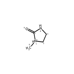 [CH2-][NH+]1CCNC1=O